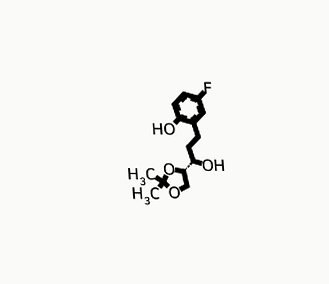 CC1(C)OC[C@@H](C(O)CCc2cc(F)ccc2O)O1